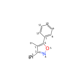 Cc1c(C(C)C)noc1-c1ccccc1